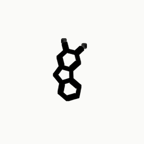 O=C1C=C2Cc3ccccc3C2=CC1=O